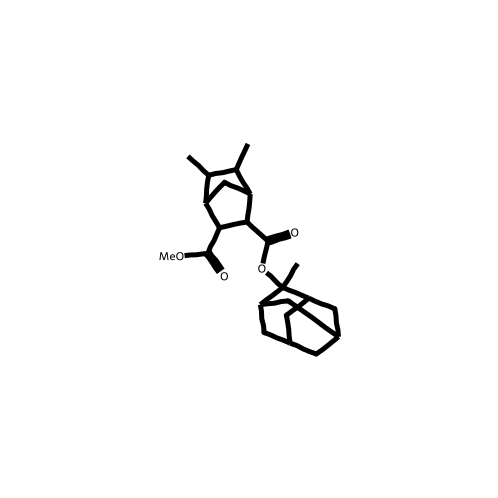 COC(=O)C1C2CC(C(C)C2C)C1C(=O)OC1(C)C2CC3CC(C2)CC1C3